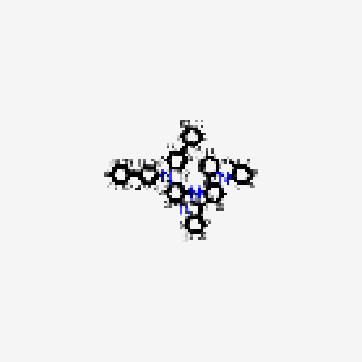 CC1C=CC=CC1n1c2c(c3c1CCC=C3)C1C(C=C2)C2c3ccccc3N3C4CC=C(N(c5ccc(-c6ccccc6)cc5)C5C=CC(c6ccccc6)=CC5)C=C4N1C23